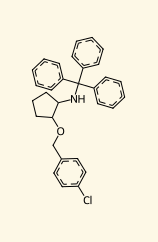 Clc1ccc(COC2CCCC2NC(c2ccccc2)(c2ccccc2)c2ccccc2)cc1